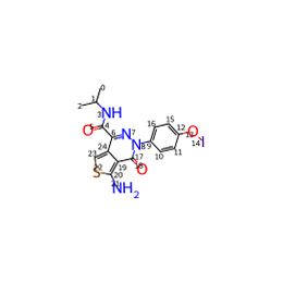 CC(C)NC(=O)c1nn(-c2ccc(OI)cc2)c(=O)c2c(N)scc12